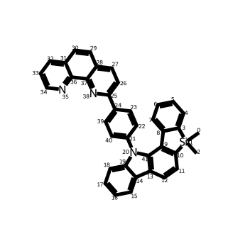 C[Si]1(C)c2ccccc2-c2c1ccc1c3ccccc3n(-c3ccc(-c4ccc5ccc6cccnc6c5n4)cc3)c21